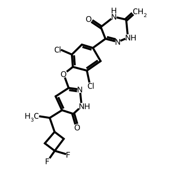 C=C1NN=C(c2cc(Cl)c(Oc3cc(C(C)C4CC(F)(F)C4)c(=O)[nH]n3)c(Cl)c2)C(=O)N1